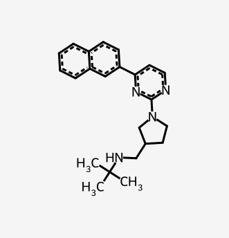 CC(C)(C)NCC1CCN(c2nccc(-c3ccc4ccccc4c3)n2)C1